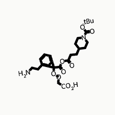 CC(C)(C)OC(=O)N1CCC(CCC(=O)OC(=O)C2(OOCC(=O)O)c3cccc(CCN)c32)CC1